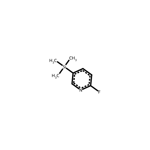 C[Si](C)(C)c1ccc(F)nc1